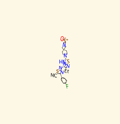 CCc1nc2n(c1N(C)c1nc(-c3ccc(F)cc3)c(C#N)s1)NC(N1CCC3(CC1)CN([S+](C)[O-])C3)S2